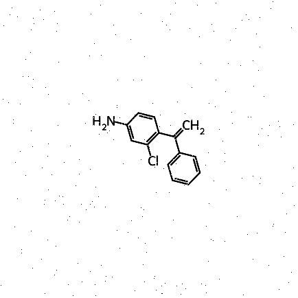 C=C(c1ccccc1)c1ccc(N)cc1Cl